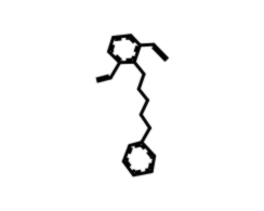 C=Cc1cccc(C=C)c1CCCCCc1ccccc1